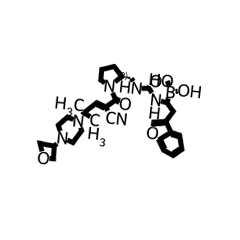 CC(C)(C=C(C#N)C(=O)N1CCC[C@@H]1CNC(=O)NC(Cc1coc2ccccc12)B(O)O)N1CCN(C2COC2)CC1